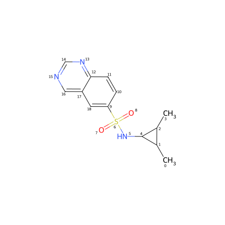 CC1C(C)C1NS(=O)(=O)c1ccc2ncncc2c1